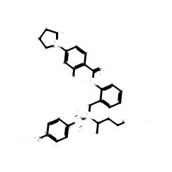 CC(CCS(=O)(=O)O)N(Cc1ccccc1NC(=O)c1ccc(N2CCCC2)cc1Cl)S(=O)(=O)c1ccc([N+](=O)[O-])cc1